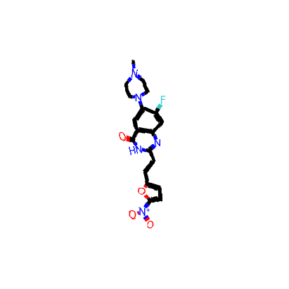 CN1CCN(c2cc3c(=O)[nH]c(C=Cc4ccc([N+](=O)[O-])o4)nc3cc2F)CC1